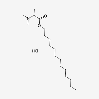 CCCCCCCCCCCCCOC(=O)C(C)N(C)C.Cl